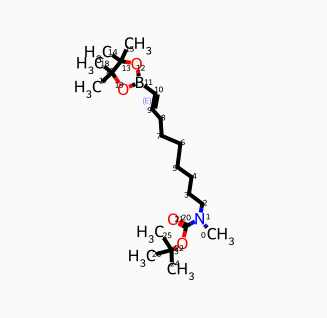 CN(CCCCCCC/C=C/B1OC(C)(C)C(C)(C)O1)C(=O)OC(C)(C)C